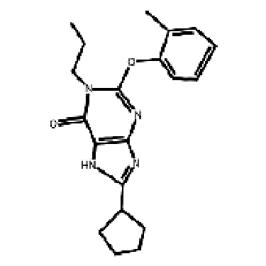 CCCn1c(Oc2ccccc2C)nc2nc(C3CCCC3)[nH]c2c1=O